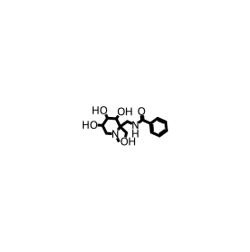 CN1CC(O)C(O)C(O)C1(CO)CNC(=O)c1ccccc1